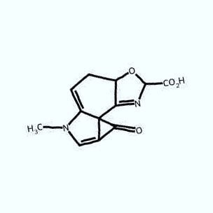 CN1C=C2C(=O)C23C1=CCC1OC(C(=O)O)N=C13